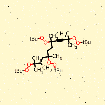 CC(CC(C)(CCC(C)(C#CC(C)(C)OOC(C)(C)C)OOC(C)(C)C)OOC(C)(C)C)C(C)(C)OOC(C)(C)C